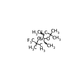 C=[CH][Sn]([CH]=C)([O]C(C)(C)C(F)(F)F)[O]C(C)(C)C(F)(F)F